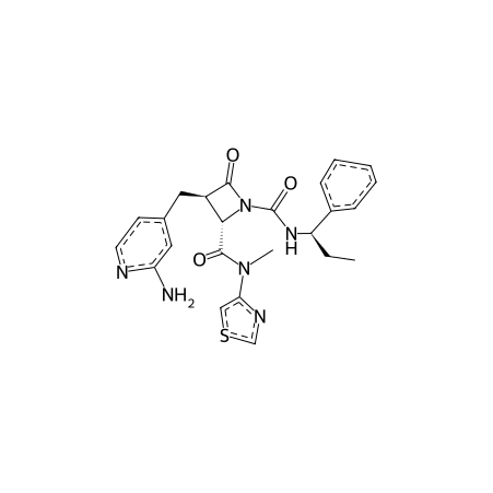 CC[C@@H](NC(=O)N1C(=O)[C@H](Cc2ccnc(N)c2)[C@H]1C(=O)N(C)c1cscn1)c1ccccc1